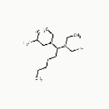 CCCCCC(N(CC)CC)N(CC)CC(C)O